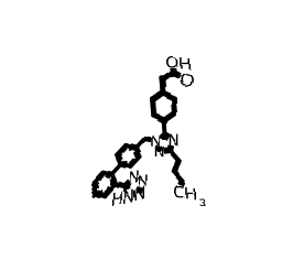 CCCCc1nc(C2CCC(CC(=O)O)CC2)n(Cc2ccc(-c3ccccc3-c3nnn[nH]3)cc2)n1